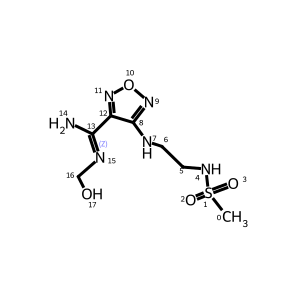 CS(=O)(=O)NCCNc1nonc1/C(N)=N/CO